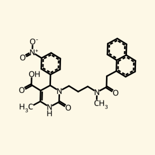 CC1=C(C(=O)O)C(c2cccc([N+](=O)[O-])c2)N(CCCN(C)C(=O)Cc2cccc3ccccc23)C(=O)N1